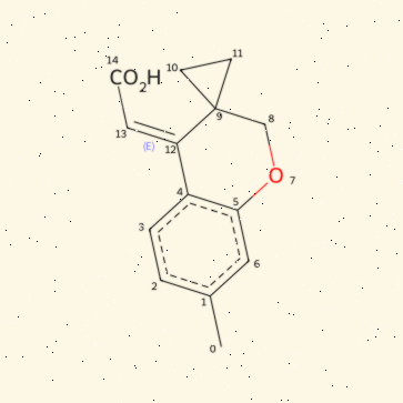 Cc1ccc2c(c1)OCC1(CC1)/C2=C\C(=O)O